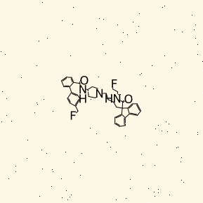 O=C(NC1CCN(CCCCC2(C(=O)NCCF)c3ccccc3-c3ccccc32)CC1)c1ccccc1-c1ccc(CF)cc1